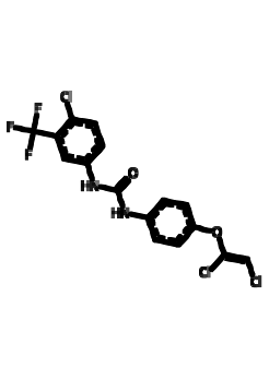 O=C(Nc1ccc(OC(Cl)=CCl)cc1)Nc1ccc(Cl)c(C(F)(F)F)c1